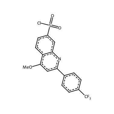 COc1cc(-c2ccc(C(F)(F)F)cc2)nc2cc(S(=O)(=O)Cl)ccc12